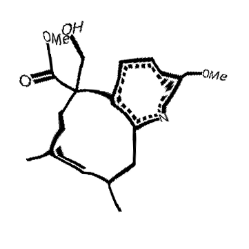 COC(=O)C1(CO)C/C(C)=C\C(C)Cc2nc(OC)ccc21